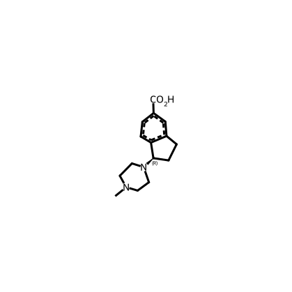 CN1CCN([C@@H]2CCc3cc(C(=O)O)ccc32)CC1